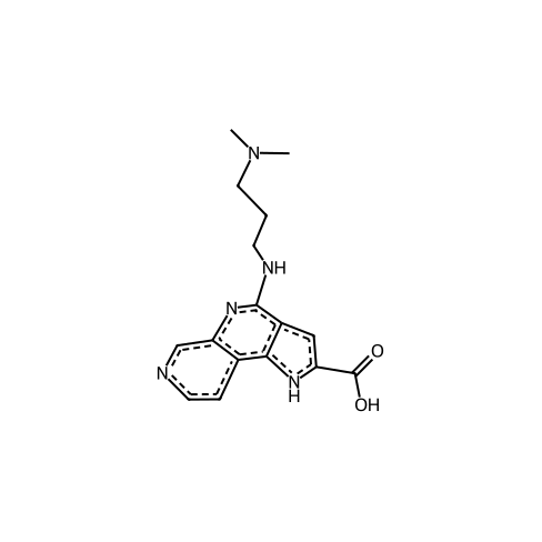 CN(C)CCCNc1nc2cnccc2c2[nH]c(C(=O)O)cc12